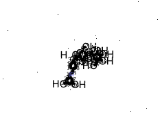 CC(C)(OC1C(CO)OC(C(C)(C)Oc2ccc(/C=C/c3cc(O)cc(O)c3)cc2)C(O)C1O)C1OC(CO)C(O)C(O)C1O